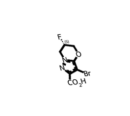 O=C(O)c1nn2c(c1Br)OC[C@@H](F)C2